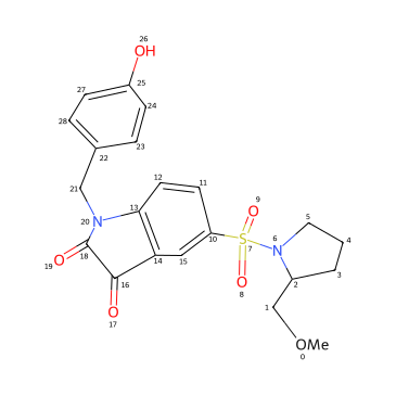 COCC1CCCN1S(=O)(=O)c1ccc2c(c1)C(=O)C(=O)N2Cc1ccc(O)cc1